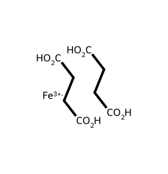 O=C(O)CCC(=O)O.O=C(O)CCC(=O)O.[Fe+3]